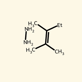 CCC(C)=C(C)C.NN